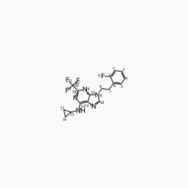 Fc1ccccc1CCn1cnc2c(NC3CC3)nc(C(F)(F)F)nc21